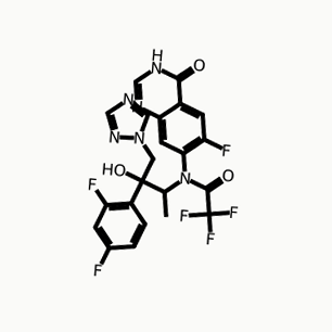 CC(N(C(=O)C(F)(F)F)c1cc2nc[nH]c(=O)c2cc1F)C(O)(Cn1cncn1)c1ccc(F)cc1F